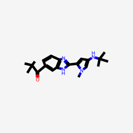 Cn1cc(NC(C)(C)C)cc1-c1nc2ccc(C(=O)C(C)(C)C)cc2[nH]1